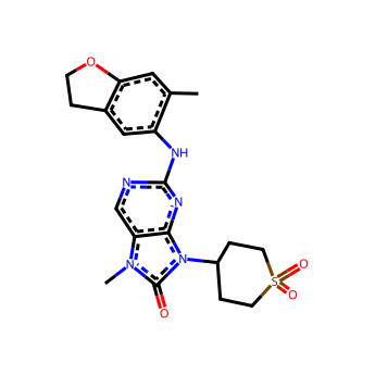 Cc1cc2c(cc1Nc1ncc3c(n1)n(C1CCS(=O)(=O)CC1)c(=O)n3C)CCO2